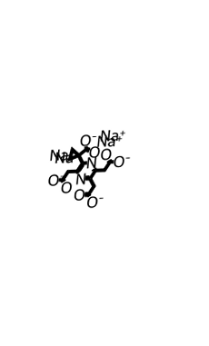 O=C([O-])Cc1nc(CC(=O)[O-])c(C2(C(=O)[O-])CC2)nc1CC(=O)[O-].[Na+].[Na+].[Na+].[Na+]